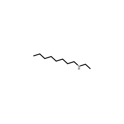 CCCCCCCC[SiH]CC